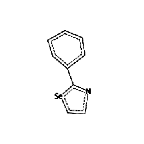 c1ccc(-c2ncc[se]2)cc1